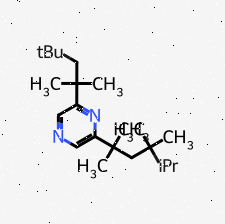 CC(C)C(C)(C)CC(C)(C)c1cncc(C(C)(C)CC(C)(C)C)n1